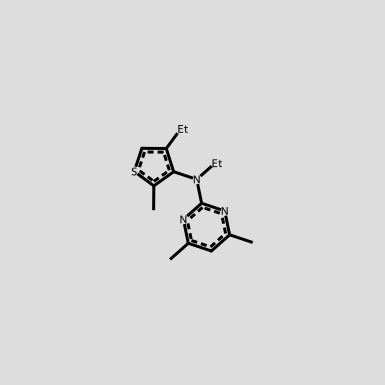 CCc1csc(C)c1N(CC)c1nc(C)cc(C)n1